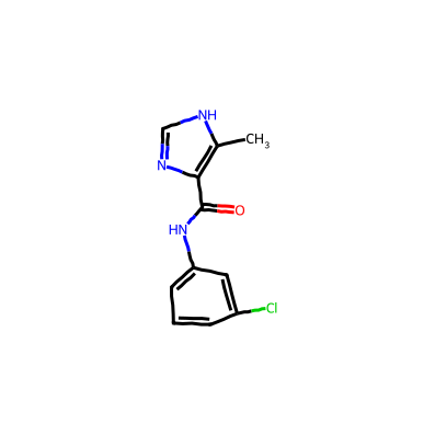 Cc1[nH]cnc1C(=O)Nc1cccc(Cl)c1